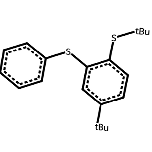 CC(C)(C)Sc1ccc(C(C)(C)C)cc1Sc1ccccc1